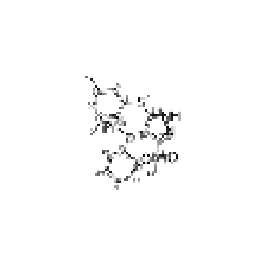 Cc1cc(C)cc(Sc2[nH]nc(S(C)(=O)=O)c2C(c2ccccn2)C(C)C)c1